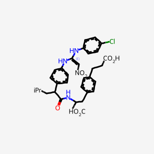 CC(C)CC(C(=O)NC(Cc1ccc(CCC(=O)O)cc1)C(=O)O)c1ccc(N/C(=C\[N+](=O)[O-])Nc2ccc(Cl)cc2)cc1